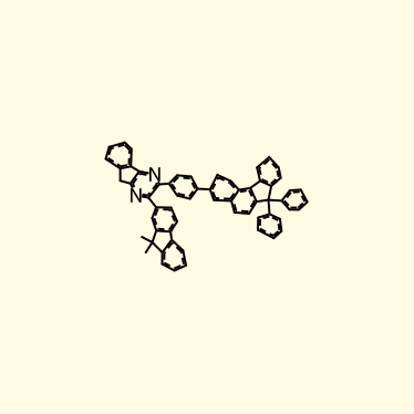 CC1(C)c2ccccc2-c2ccc(-c3nc4c(nc3-c3ccc(-c5ccc6c7c(ccc6c5)C(c5ccccc5)(c5ccccc5)c5ccccc5-7)cc3)-c3ccccc3C4)cc21